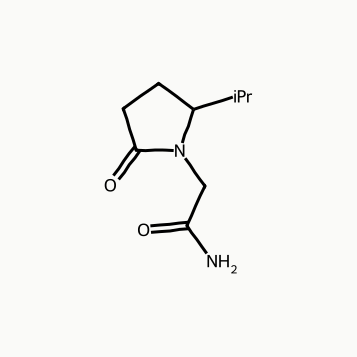 CC(C)C1CCC(=O)N1CC(N)=O